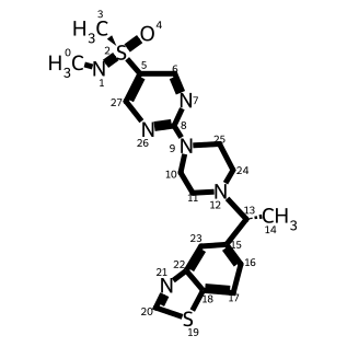 CN=[S@](C)(=O)c1cnc(N2CCN([C@H](C)c3ccc4scnc4c3)CC2)nc1